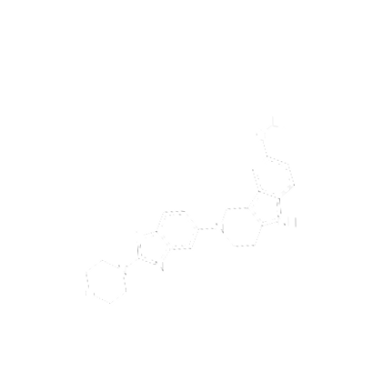 CCOc1ccc2[nH]c3c(c2c1)CN(c1ccc2oc(N4CCOCC4)nc2c1)CC3